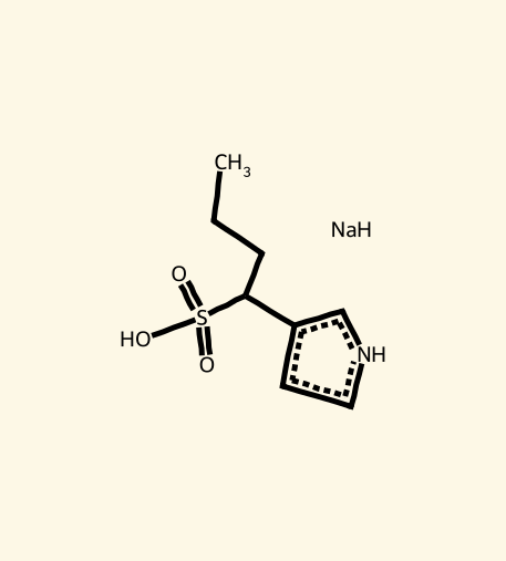 CCCC(c1cc[nH]c1)S(=O)(=O)O.[NaH]